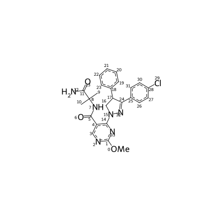 COc1ncc(C(=O)NC(C)(C)C(N)=O)c(N2CC(c3ccccc3)C(c3ccc(Cl)cc3)=N2)n1